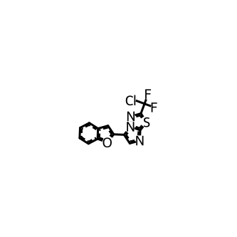 FC(F)(Cl)c1nn2c(-c3cc4ccccc4o3)cnc2s1